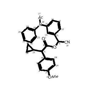 COc1ccc(C(C(=O)OC(C#N)c2cccc(N(C(C)=O)c3ccccc3)c2)C2CC2)cc1